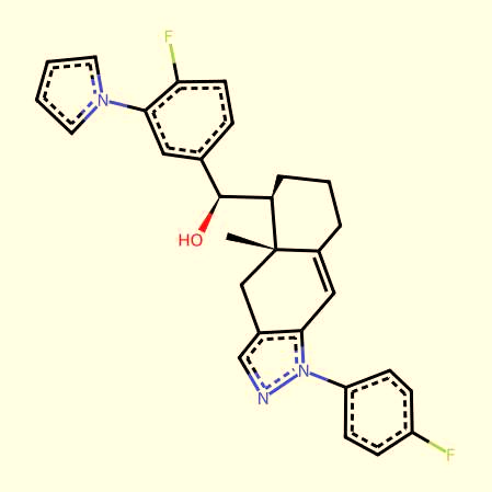 C[C@]12Cc3cnn(-c4ccc(F)cc4)c3C=C1CCC[C@@H]2[C@@H](O)c1ccc(F)c(-n2cccc2)c1